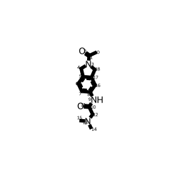 CC(=O)N1Cc2ccc(NC(=O)CN(C)C)cc2C1